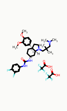 COc1ccc([C@@]23CC[C@@H](NC(=O)Nc4ccc(F)c(F)c4)C[C@@H]2N(CC(C)(C)CN(C)C)CC3)cc1OC.O=C(O)C(F)(F)F.O=C(O)C(F)(F)F